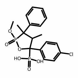 COP1(=O)OC(c2ccc(Cl)cc2)(P(=O)(O)O)C(C)C1(C)c1ccccc1